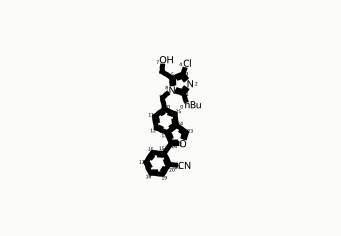 CCCCc1nc(Cl)c(CO)n1Cc1ccc2c(-c3ccccc3C#N)occ2c1